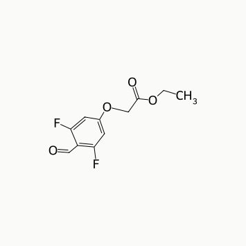 CCOC(=O)COc1cc(F)c(C=O)c(F)c1